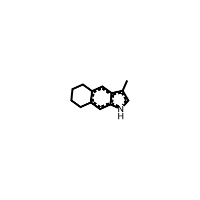 Cc1c[nH]c2cc3c(cc12)CCCC3